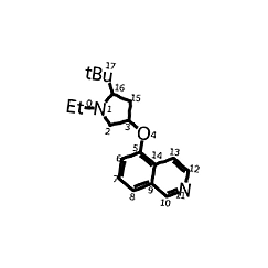 CCN1CC(Oc2cccc3cnccc23)CC1C(C)(C)C